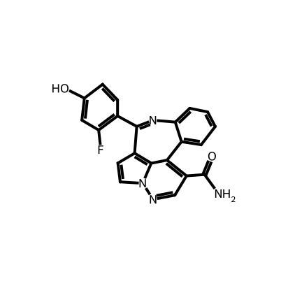 NC(=O)c1cnn2ccc3c2c1-c1ccccc1N=C3c1ccc(O)cc1F